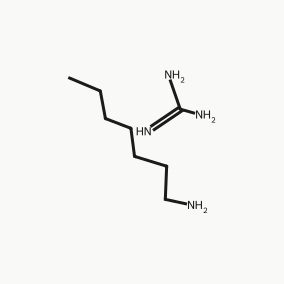 CCCCCCCN.N=C(N)N